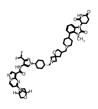 Cn1c(=O)n(C2CCC(=O)NC2=O)c2cccc(C3CCN(CC4COC5(C4)CN(C[C@H]4CC[C@H](n6cc(NC(=O)c7cnn8ccc(N9C[C@H]%10C[C@@H]9CO%10)nc78)c(C(F)F)n6)CC4)C5)CC3)c21